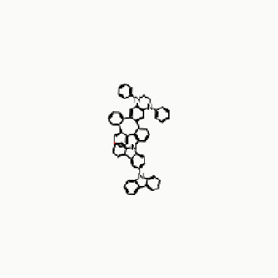 c1ccc(N2CCN(c3ccccc3)c3cc4c(cc32)-c2ccccc2-c2ccccc2-c2c-4cccc2-n2c3ccccc3c3cc(-n4c5ccccc5c5ccccc54)ccc32)cc1